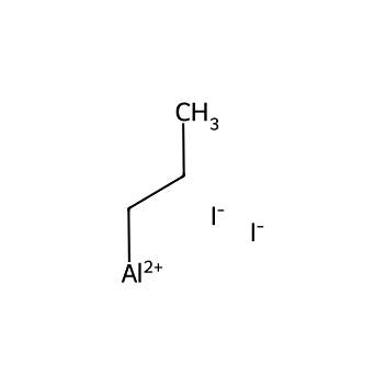 CC[CH2][Al+2].[I-].[I-]